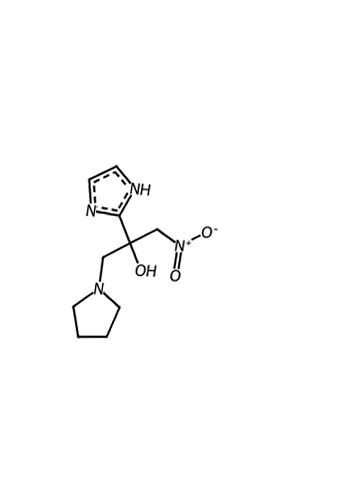 O=[N+]([O-])CC(O)(CN1CCCC1)c1ncc[nH]1